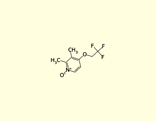 Cc1c(OCC(F)(F)F)cc[n+]([O-])c1C